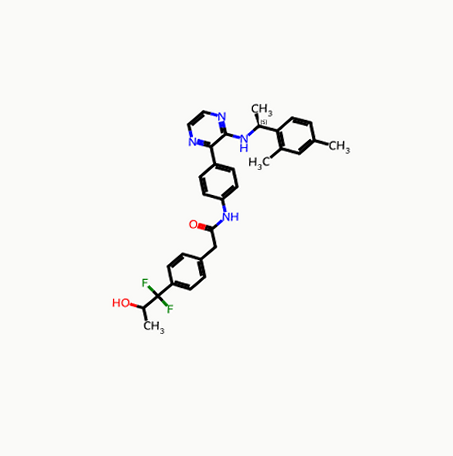 Cc1ccc([C@H](C)Nc2nccnc2-c2ccc(NC(=O)Cc3ccc(C(F)(F)C(C)O)cc3)cc2)c(C)c1